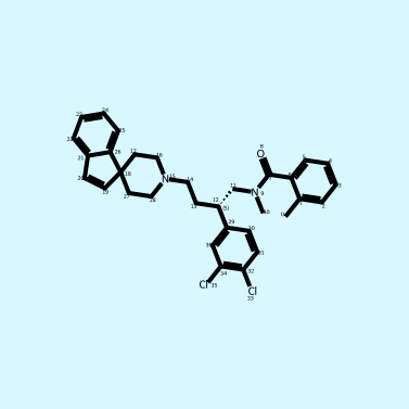 Cc1ccccc1C(=O)N(C)C[C@@H](CCN1CCC2(C=Cc3ccccc32)CC1)c1ccc(Cl)c(Cl)c1